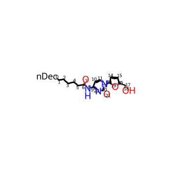 CCCCCCCCCCCCCCCC(=O)Nc1ccn([C@H]2C=C[C@@H](CO)O2)c(=O)n1